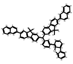 CC1(C)c2cc(-c3ccc4ccccc4c3)ccc2-c2ccc(C(c3cccc(-c4cccc5c4oc4ccccc45)c3)c3ccc4c(c3)C(C)(C)c3cc(-c5ccc6ccccc6c5)ccc3-4)cc21